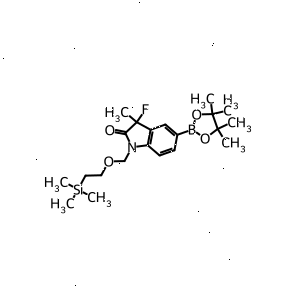 CC1(F)C(=O)N(COCC[Si](C)(C)C)c2ccc(B3OC(C)(C)C(C)(C)O3)cc21